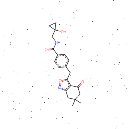 CC1(C)CC(=O)c2c(noc2Cc2ccc(C(=O)NCC3(O)CC3)cc2)C1